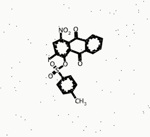 Cc1ccc(S(=O)(=O)Oc2c(I)cc([N+](=O)[O-])c3c2C(=O)c2ccccc2C3=O)cc1